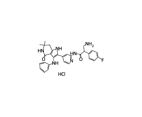 CC1(C)Cc2[nH]c(-c3ccnc(NC(=O)C(CN)c4ccc(F)cc4)c3)c(Nc3ccccc3)c2C(=O)N1.Cl